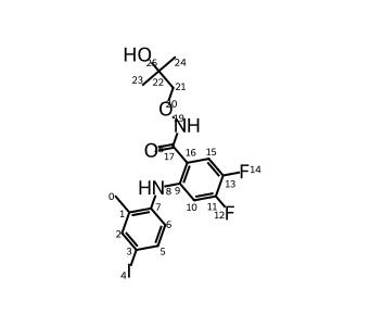 Cc1cc(I)ccc1Nc1cc(F)c(F)cc1C(=O)NOCC(C)(C)O